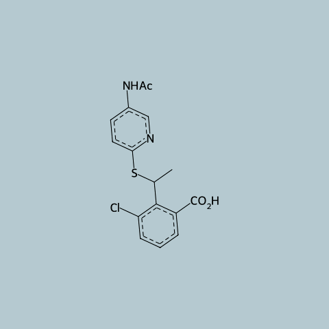 CC(=O)Nc1ccc(SC(C)c2c(Cl)cccc2C(=O)O)nc1